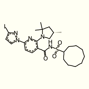 C[C@@H]1CN(c2nc(-n3ccc(I)n3)ccc2C(=O)NS(=O)(=O)C2CCCCCCCC2)C(C)(C)C1